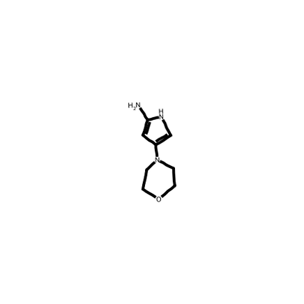 Nc1cc(N2CCOCC2)c[nH]1